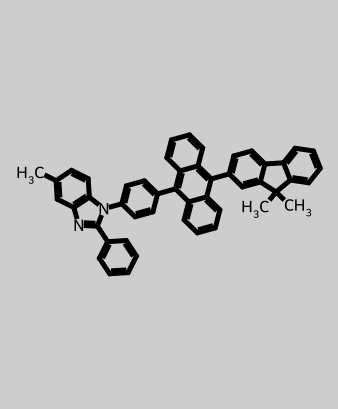 Cc1ccc2c(c1)nc(-c1ccccc1)n2-c1ccc(-c2c3ccccc3c(-c3ccc4c(c3)C(C)(C)c3ccccc3-4)c3ccccc23)cc1